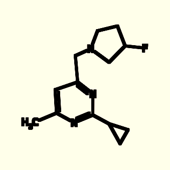 Cc1cc(CN2CCC(F)C2)nc(C2CC2)n1